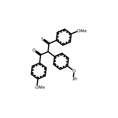 COc1ccc(C(=O)C(C(=S)c2ccc(OC)cc2)c2ccc(OC(C)C)cc2)cc1